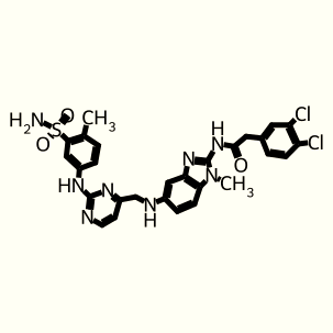 Cc1ccc(Nc2nccc(CNc3ccc4c(c3)nc(NC(=O)Cc3ccc(Cl)c(Cl)c3)n4C)n2)cc1S(N)(=O)=O